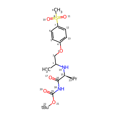 CC(COc1ccc(S(C)(=O)=O)cc1)N[C@H](C(=O)NC(=O)OC(C)(C)C)C(C)C